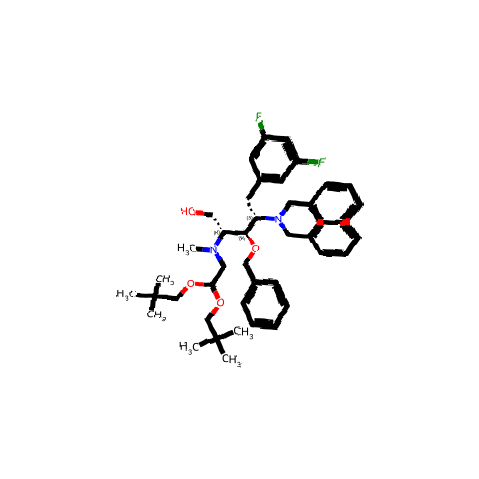 CN(CC(OCC(C)(C)C)OCC(C)(C)C)[C@H](CO)[C@H](OCc1ccccc1)[C@H](Cc1cc(F)cc(F)c1)N(Cc1ccccc1)Cc1ccccc1